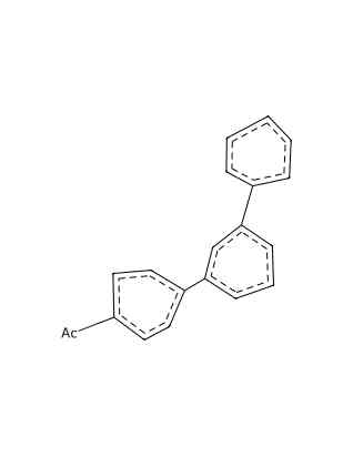 CC(=O)c1ccc(-c2cccc(-c3ccccc3)c2)cc1